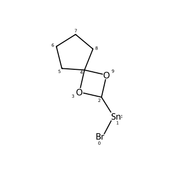 [Br][Sn][CH]1OC2(CCCC2)O1